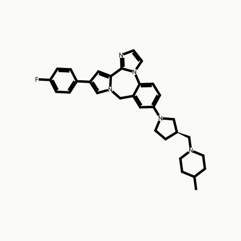 CC1CCN(C[C@H]2CCN(c3ccc4c(c3)Cn3cc(-c5ccc(F)cc5)cc3-c3nccn3-4)C2)CC1